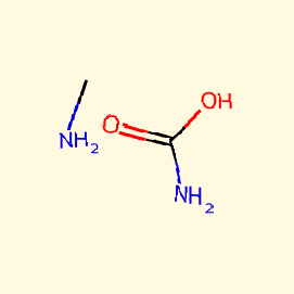 CN.NC(=O)O